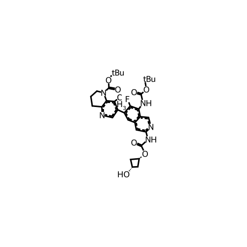 Cc1c(-c2cc3cc(NC(=O)O[C@H]4C[C@@H](O)C4)ncc3c(NC(=O)OC(C)(C)C)c2F)cnc2c1N(C(=O)OC(C)(C)C)CCC2